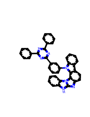 c1ccc(-c2nc(-c3ccccc3)nc(-c3cccc(-n4c5ccccc5c5ccc6nc7[nH]c8ccccc8n7c6c54)c3)n2)cc1